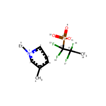 CC[n+]1cccc(C)c1.O=S(=O)([O-])C(F)(F)C(F)(F)C(F)(F)F